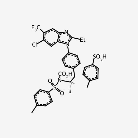 CCc1nc2cc(C(F)(F)F)c(Cl)cc2n1-c1ccc(C[C@H](C)N(C(=O)O)S(=O)(=O)c2ccc(C)cc2)cc1.Cc1ccc(S(=O)(=O)O)cc1